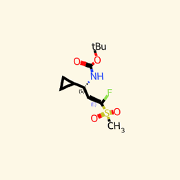 CC(C)(C)OC(=O)N[C@H](/C=C(\F)S(C)(=O)=O)C1CC1